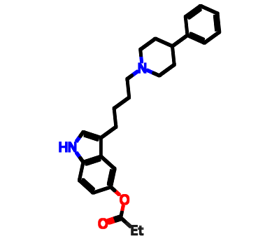 CCC(=O)Oc1ccc2[nH]cc(CCCCN3CCC(c4ccccc4)CC3)c2c1